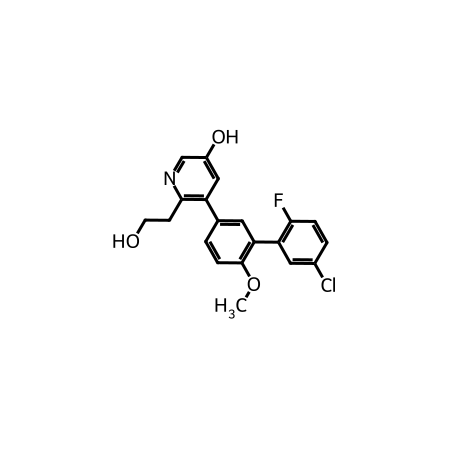 COc1ccc(-c2cc(O)cnc2CCO)cc1-c1cc(Cl)ccc1F